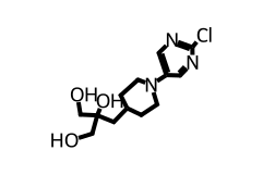 OCC(O)(CO)CC1CCN(c2cnc(Cl)nc2)CC1